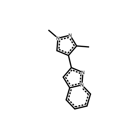 Cc1nn(C)cc1-c1cc2ccccn2n1